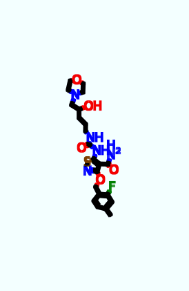 Cc1ccc(COc2nsc(NC(=O)NCCCC(O)CN3CCOCC3)c2C(N)=O)c(F)c1